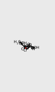 CCOC(=O)CCCc1[nH]c2c3c(cc(Cl)c2c1Cl)CN(Cc1ccnc(O)c1)S(=O)(=O)N3